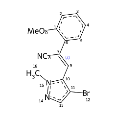 COc1ccccc1/C(C#N)=C/c1c(Br)cnn1C